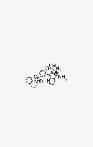 CC1(C)Oc2ccc(S(=O)(=O)N3CCCc4ccccc43)cc2[C@@H](c2ncccc2C(N)=O)[C@@H]1O